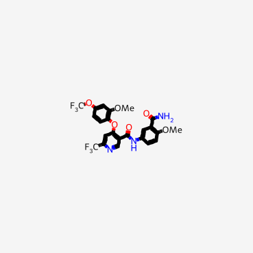 COc1cc(OC(F)(F)F)ccc1Oc1cc(C(F)(F)F)ncc1C(=O)Nc1ccc(OC)c(C(N)=O)c1